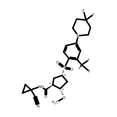 CO[C@H]1C[C@@H](S(=O)(=O)c2ccc(N3CCC(F)(F)CC3)cc2C(F)(F)F)C[C@@H]1C(=O)NC1(C#N)CC1